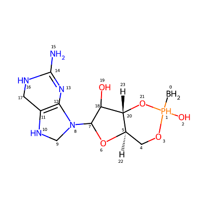 B[PH]1(O)OC[C@H]2OC(N3CNC4=C3N=C(N)NC4)C(O)[C@@H]2O1